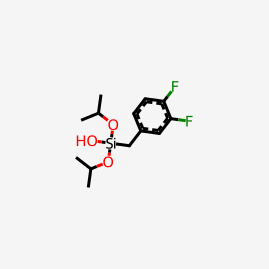 CC(C)O[Si](O)(Cc1ccc(F)c(F)c1)OC(C)C